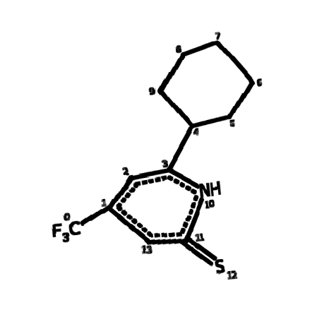 FC(F)(F)c1cc(C2CCCCC2)[nH]c(=S)c1